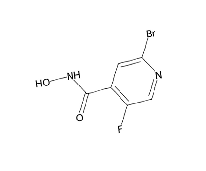 O=C(NO)c1cc(Br)ncc1F